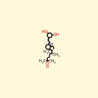 C[C@H](CCCC(C)(C)O)[C@H]1CC[C@H]2/C(=C/C=C3\C[C@@H](O)C[C@@H](O)C3)CCC[C@]12C